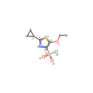 CCOc1sc(C2CC2)nc1S(=O)(=O)Cl